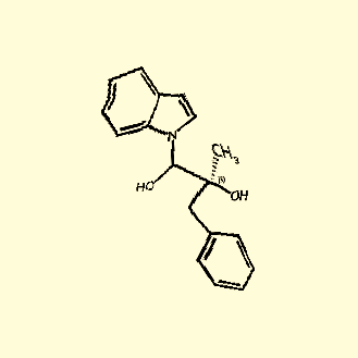 C[C@](O)(Cc1ccccc1)C(O)n1ccc2ccccc21